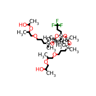 CC(O)COC(C)COCCC[Si](C)(C)O[Si](C)(C)O[Si](C)(CCC(F)(F)F)O[Si](C)(C)O[Si](C)(C)CCCOCC(C)OC(C)O